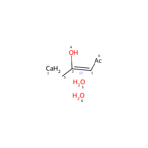 CC(=O)/C=C(/C)O.O.O.[CaH2]